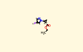 CCOC(=O)[C@H]1C[C@@H]1n1cc(I)cn1